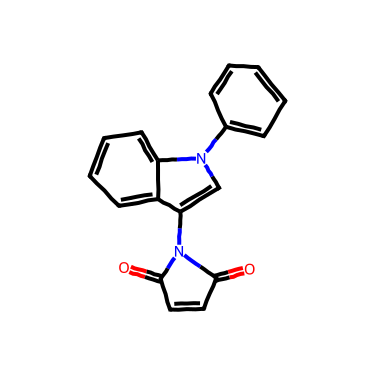 O=C1C=CC(=O)N1c1cn(-c2ccccc2)c2ccccc12